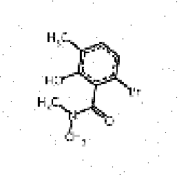 Cc1ccc(Br)c(C(=O)N(C)C)c1O